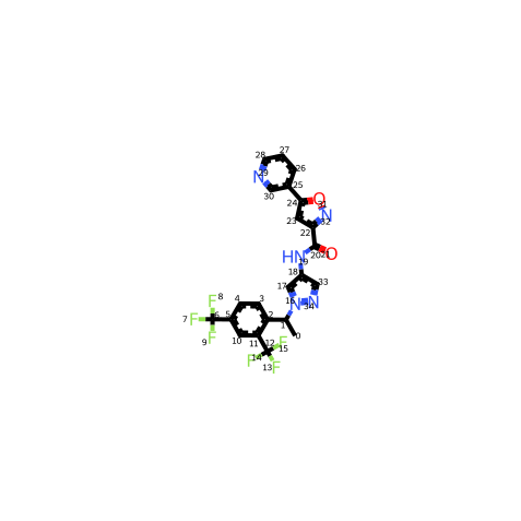 CC(c1ccc(C(F)(F)F)cc1C(F)(F)F)n1cc(NC(=O)c2cc(-c3cccnc3)on2)cn1